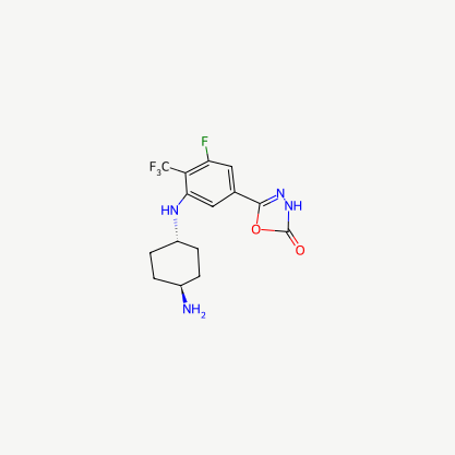 N[C@H]1CC[C@H](Nc2cc(-c3n[nH]c(=O)o3)cc(F)c2C(F)(F)F)CC1